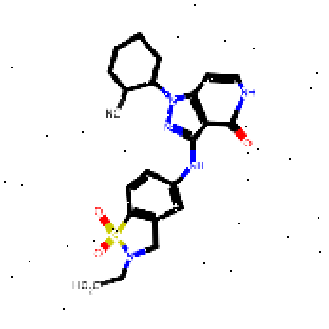 N#CC1CCCCC1n1nc(Nc2ccc3c(c2)CN(CC(=O)O)S3(=O)=O)c2c(=O)[nH]ccc21